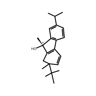 CC(C)c1ccc2c(c1)[C@@](C)(O)C1=C2C=CC(C)(C(C)(C)C)C1